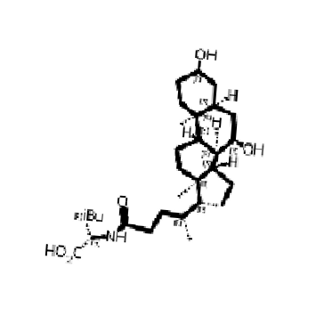 CC[C@@H](C)[C@H](NC(=O)CC[C@@H](C)[C@H]1CC[C@H]2[C@@H]3[C@H](O)C[C@@H]4C[C@H](O)CC[C@]4(C)[C@H]3CC[C@]12C)C(=O)O